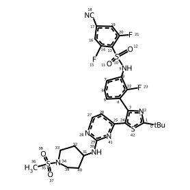 CC(C)(C)c1nc(-c2cccc(NS(=O)(=O)c3c(F)cc(C#N)cc3F)c2F)c(-c2ccnc(NC3CCN(S(C)(=O)=O)CC3)n2)s1